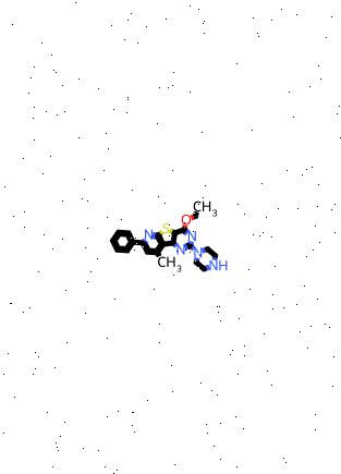 CCOC1=NC(N2CCNCC2)=NC2c3c(C)cc(-c4ccccc4)nc3SC12